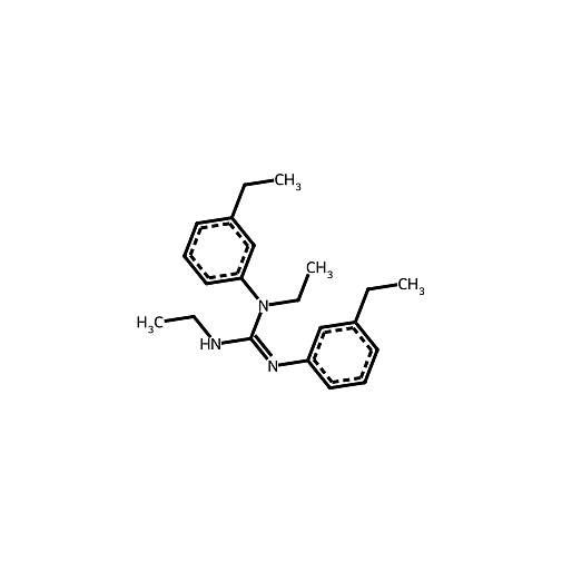 CCNC(=Nc1cccc(CC)c1)N(CC)c1cccc(CC)c1